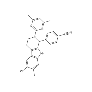 Cc1cc(C)nc(N2CCc3c([nH]c4cc(F)c(Cl)cc34)C2c2ccc(C#N)cc2)n1